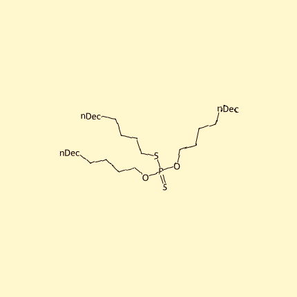 CCCCCCCCCCCCCCOP(=S)(OCCCCCCCCCCCCCC)SCCCCCCCCCCCCCC